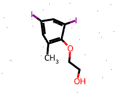 Cc1cc(I)cc(I)c1OCCO